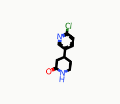 O=C1CC(c2ccc(Cl)nc2)CCN1